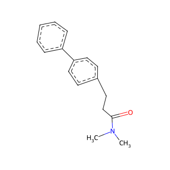 CN(C)C(=O)CCc1ccc(-c2ccccc2)cc1